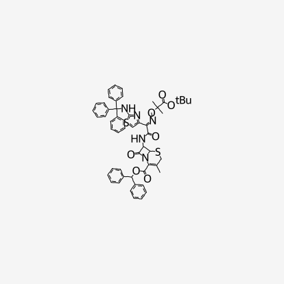 CC1=C(C(=O)OC(c2ccccc2)c2ccccc2)N2C(=O)C(NC(=O)/C(=N/OC(C)(C)C(=O)OC(C)(C)C)c3csc(NC(c4ccccc4)(c4ccccc4)c4ccccc4)n3)C2SC1